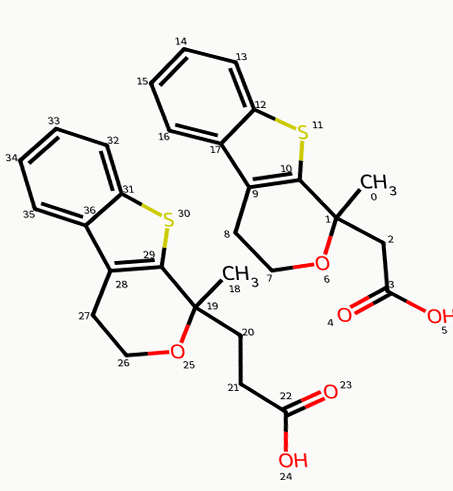 CC1(CC(=O)O)OCCc2c1sc1ccccc21.CC1(CCC(=O)O)OCCc2c1sc1ccccc21